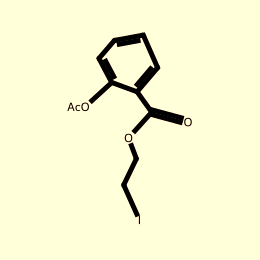 CC(=O)Oc1ccccc1C(=O)OCCI